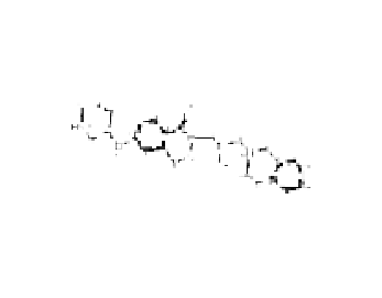 O=C1c2ccc(OC3CCCNC3)cc2CCN1C[C@H](O)CN1CCc2ccccc2C1